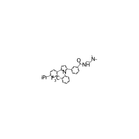 CC(C)c1ccc(-c2ccc(-c3cccc(C(=O)NCCN(C)C)c3)n2-c2ccccc2C(F)(F)F)cc1